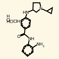 Cl.Cl.Cl.Nc1ccccc1NC(=O)c1ccc(NC2CCN(C3CC3)C2)cc1